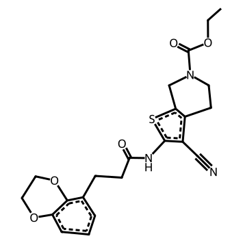 CCOC(=O)N1CCc2c(sc(NC(=O)CCc3cccc4c3OCCO4)c2C#N)C1